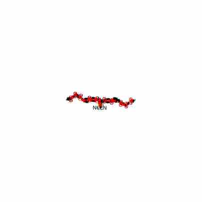 C=CC(=O)OCCOC(=O)CCC(=O)OCCc1ccc(OC(=O)C2CCC(C(=O)Oc3cc(C)c(OC(=O)C4CCC(C(=O)Oc5ccc(CCOC(=O)CCC(=O)OCCOC(=O)C=C)cc5)CC4)c4c3SC(C(C#N)C#N)S4)CC2)cc1